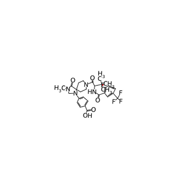 CN1CN(c2ccc(C(=O)O)cc2)C2(CCN(C(=O)C(NC(=O)c3cc(C(F)(F)F)ccc3F)C(C)(C)C)CC2)C1=O